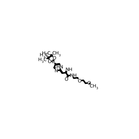 COCCOCCNC(=O)C(=N)/C=C1/N=CC(B2OC(C)(C)C(C)(C)O2)=CN1